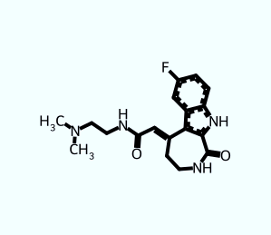 CN(C)CCNC(=O)/C=C1\CCNC(=O)c2[nH]c3ccc(F)cc3c21